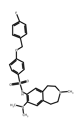 CN1CCc2cc(NS(=O)(=O)c3ccc(OCc4ccc(F)cc4)cc3)c(N(C)C)cc2CC1